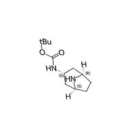 CC(C)(C)OC(=O)N[C@@H]1C[C@H]2CC[C@@H](C1)N2